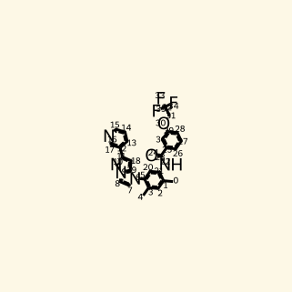 Cc1cc(C)c(-n2ccn3nc(-c4cccnc4)cc23)cc1NC(=O)c1cccc(OCC(F)(F)F)c1